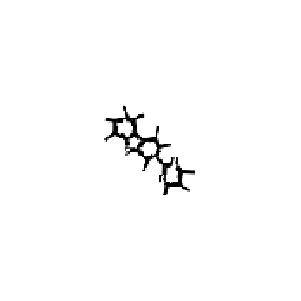 Cc1nc(-c2c(C)c(C)c3c(sc4c(C)c(C)c(C)c(C)c43)c2C)nc(C)c1C